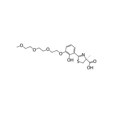 COCCOCCOCCOc1cccc(C2=N[C@@](C)(C(=O)O)CS2)c1O